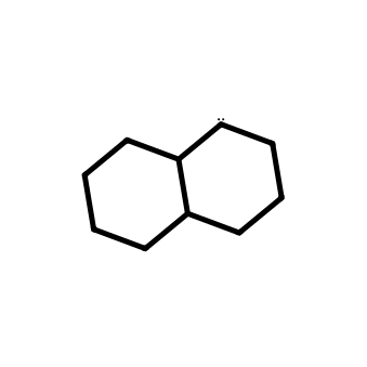 [C]1CCCC2CCCCC12